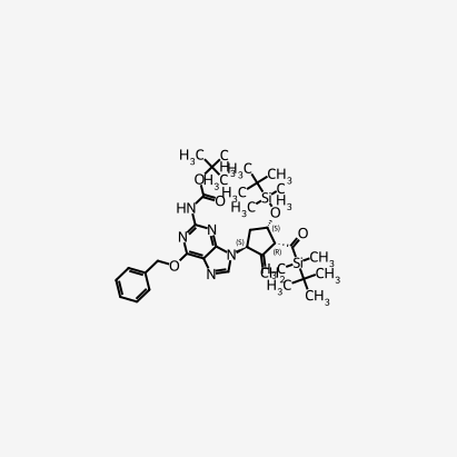 C=C1[C@@H](C(=O)[Si](C)(C)C(C)(C)C)[C@@H](O[Si](C)(C)C(C)(C)C)C[C@@H]1n1cnc2c(OCc3ccccc3)nc(NC(=O)OC(C)(C)C)nc21